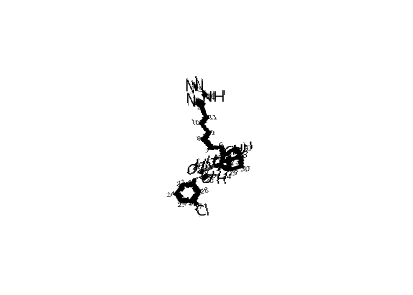 CC1(C)[C@H]2C[C@H](C/C=C\CCCc3nnn[nH]3)[C@@H](NS(=O)(=O)c3cccc(Cl)c3)[C@@H]1C2